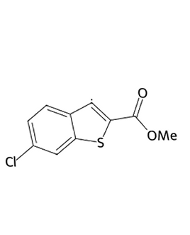 COC(=O)c1[c]c2ccc(Cl)cc2s1